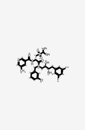 CCCC(CCC)S(=O)(=O)C[C@@H](NC(=O)c1cncc(C)c1)C(=O)N(Cc1cccc(CC)c1)C[C@@H](O)[C@@H](N)Cc1cc(F)cc(F)c1